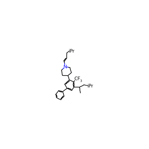 CC(C)CC=CN1CCC(c2cc(-c3ccccc3)cc(C(C)CC(C)C)c2C(F)(F)F)CC1